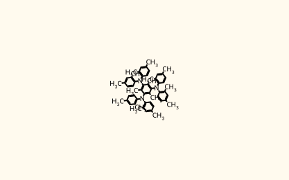 Cc1ccc(N(c2ccc(C)cc2C)c2c(C)c(N(c3ccc(C)cc3C)c3ccc(C)cc3C)c(C)c(N(c3ccc(C)cc3C)c3ccc(C)cc3C)c2C)c(C)c1